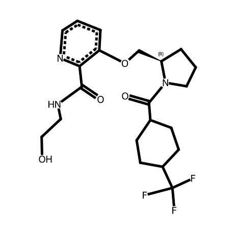 O=C(NCCO)c1ncccc1OC[C@H]1CCCN1C(=O)C1CCC(C(F)(F)F)CC1